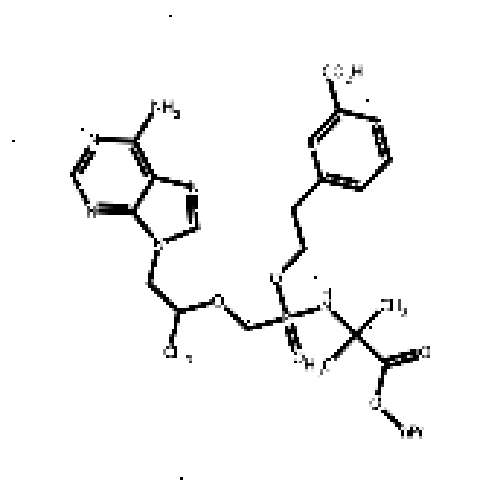 CCCOC(=O)C(C)(C)NP(=O)(COC(C)Cn1cnc2c(N)ncnc21)OCCc1cccc(C(=O)O)c1